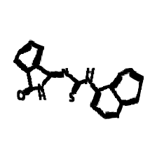 O=C1N/C(=N\C(=S)Nc2cccc3ccccc23)c2ccccc21